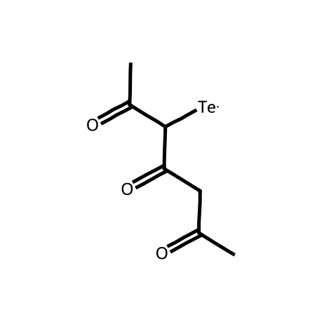 CC(=O)CC(=O)C([Te])C(C)=O